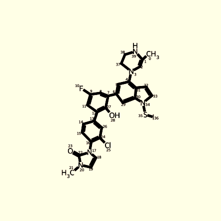 CC1=CN(c2cc(-c3cc(F)cc(-c4ccc(-n5ccn(C)c5=O)c(Cl)c4)c3O)cc3c2ccn3SI)CCN1